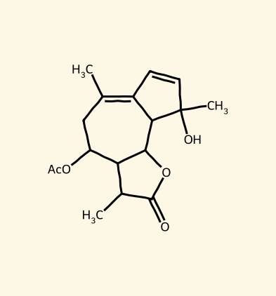 CC(=O)OC1CC(C)=C2C=CC(C)(O)C2C2OC(=O)C(C)C12